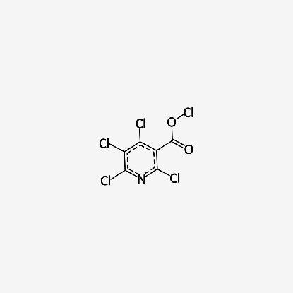 O=C(OCl)c1c(Cl)nc(Cl)c(Cl)c1Cl